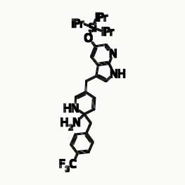 CC(C)[Si](Oc1cnc2[nH]cc(CC3=CNC(N)(Cc4ccc(C(F)(F)F)cc4)C=C3)c2c1)(C(C)C)C(C)C